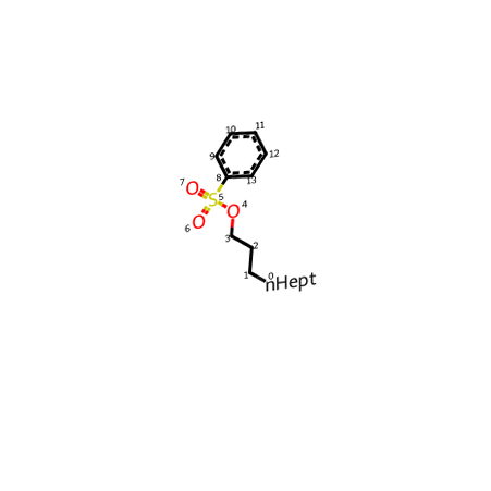 CCCCCCCCCCOS(=O)(=O)c1ccccc1